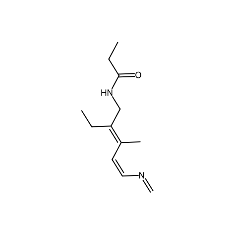 C=N/C=C\C(C)=C(/CC)CNC(=O)CC